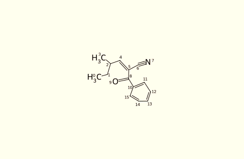 CCC(C)/C=C(/C#N)C(=O)c1ccccc1